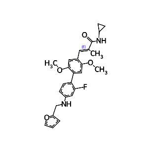 COc1cc(-c2ccc(NCc3ccco3)cc2F)c(OC)cc1/C=C(\C)C(=O)NC1CC1